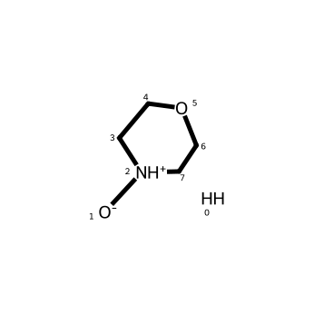 [HH].[O-][NH+]1CCOCC1